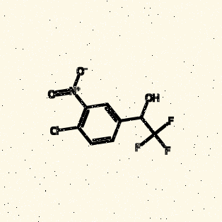 O=[N+]([O-])c1cc(C(O)C(F)(F)F)ccc1Cl